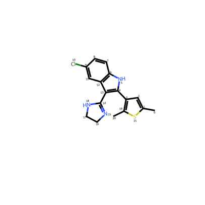 Cc1cc(-c2[nH]c3ccc(Cl)cc3c2C2=NCCN2)c(C)s1